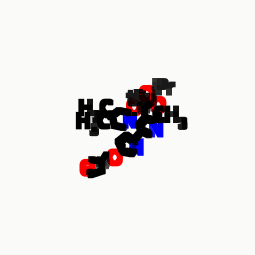 Cc1ncc(-c2ccc(OC[C@H]3CCOC3)cn2)c(N2CCC(C)(C)CC2)c1[C@H](OC(C)(C)C)C(=O)OC(C)C